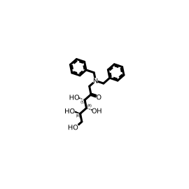 O=C(CN(Cc1ccccc1)Cc1ccccc1)[C@@H](O)[C@H](O)[C@H](O)CO